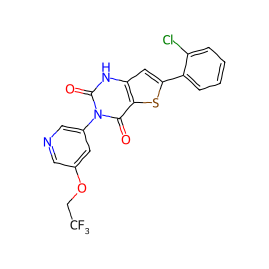 O=c1[nH]c2cc(-c3ccccc3Cl)sc2c(=O)n1-c1cncc(OCC(F)(F)F)c1